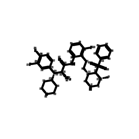 C[C@@H]1CNC[C@H](CCc2c(F)cccc2NC(=O)[C@@H](N)[C@@H](c2ccc(F)c(F)c2)C2CCOCC2)N1S(=O)(=O)c1ccccc1